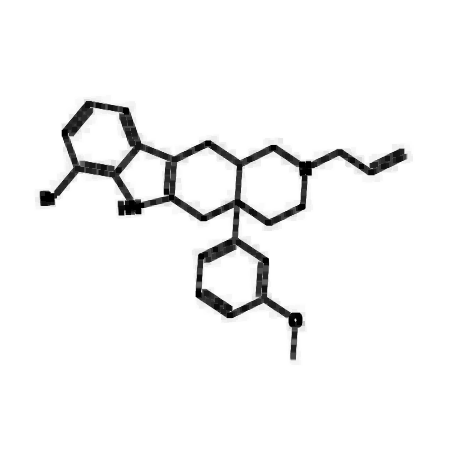 C=CCN1CCC2(c3cccc(OC)c3)Cc3[nH]c4c(Br)cccc4c3CC2C1